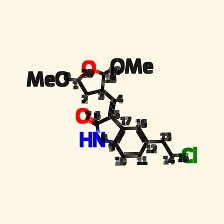 COC1CC(C=C2C(=O)Nc3ccc(CCCl)cc32)C(OC)O1